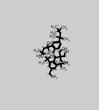 CC(C)(C)CC(C)(C)c1ccc(OC(c2c(C(C)(C)C)cc(CN)cc2C(C)(C)C)C(CO)(CO)CO)c(C(C)(C)CC(C)(C)C)c1